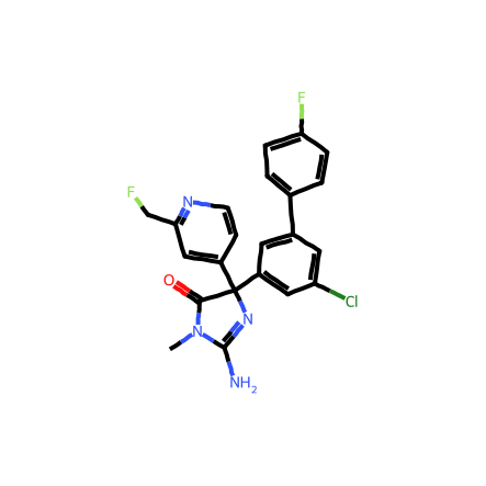 CN1C(=O)C(c2cc(Cl)cc(-c3ccc(F)cc3)c2)(c2ccnc(CF)c2)N=C1N